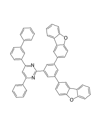 c1ccc(-c2cccc(-c3cc(-c4ccccc4)nc(-c4cc(-c5ccc6oc7ccccc7c6c5)cc(-c5ccc6oc7ccccc7c6c5)c4)n3)c2)cc1